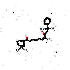 CC(=CC=CCCC(=O)C1=CCCC(C)(C)C1)C(=O)CC(C)(C)c1ccccc1